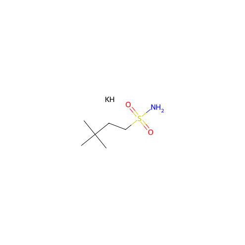 CC(C)(C)CCS(N)(=O)=O.[KH]